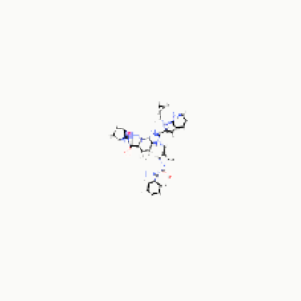 COc1cc(C(=O)N2CC3CCC2[C@@H]3N)cc2nc(-c3cc4cccnc4n3CC3CC3)n(CC3CN(C(=O)Nc4ccccc4)C3)c12